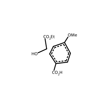 CCOC(=O)CO.COc1ccc(C(=O)O)cc1